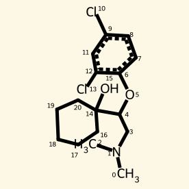 CN(C)CC(Oc1ccc(Cl)cc1Cl)C1(O)CCCCC1